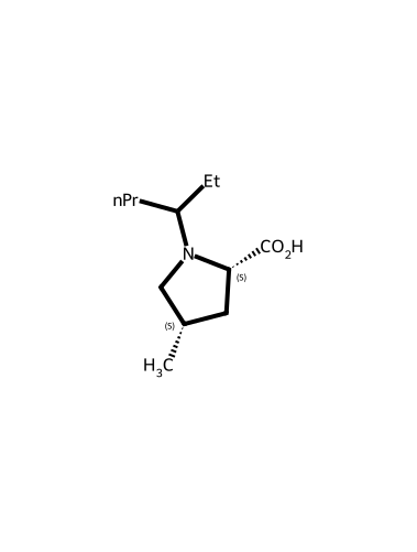 CCCC(CC)N1C[C@@H](C)C[C@H]1C(=O)O